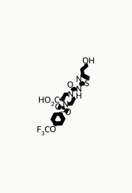 O=C(O)[C@H]1CN(C(=O)Nc2nc(CCO)cs2)CCN1S(=O)(=O)c1ccc(OC(F)(F)F)cc1